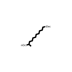 [CH2]CCCCCCCC(C)CCCCCCCCCCCCCCCCCCC